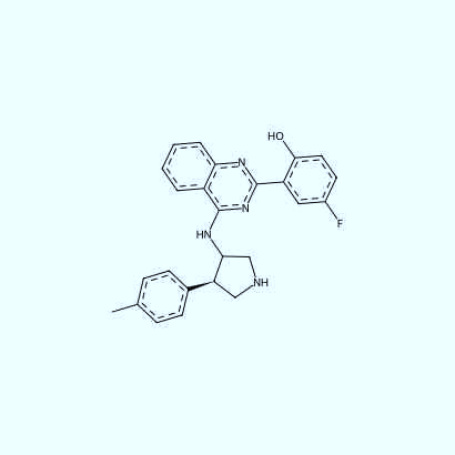 Cc1ccc([C@@H]2CNCC2Nc2nc(-c3cc(F)ccc3O)nc3ccccc23)cc1